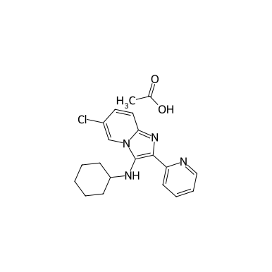 CC(=O)O.Clc1ccc2nc(-c3ccccn3)c(NC3CCCCC3)n2c1